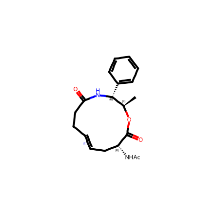 CC(=O)N[C@@H]1C/C=C/CCC(=O)N[C@H](c2ccccc2)[C@@H](C)OC1=O